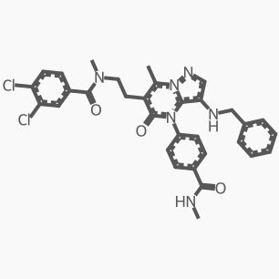 CNC(=O)c1ccc(-n2c(=O)c(CCN(C)C(=O)c3ccc(Cl)c(Cl)c3)c(C)n3ncc(NCc4ccccc4)c23)cc1